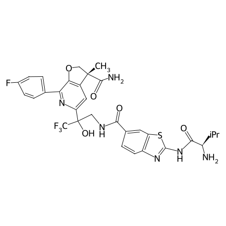 CC(C)[C@@H](N)C(=O)Nc1nc2ccc(C(=O)NCC(O)(c3cc4c(c(-c5ccc(F)cc5)n3)OC[C@]4(C)C(N)=O)C(F)(F)F)cc2s1